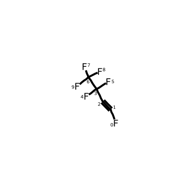 FC#CC(F)(F)C(F)(F)F